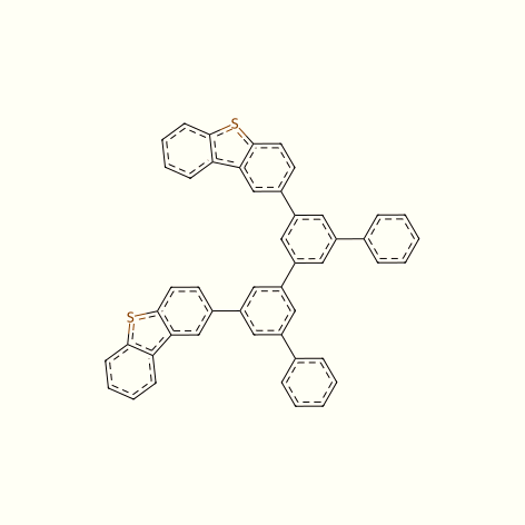 c1ccc(-c2cc(-c3cc(-c4ccccc4)cc(-c4ccc5sc6ccccc6c5c4)c3)cc(-c3ccc4sc5ccccc5c4c3)c2)cc1